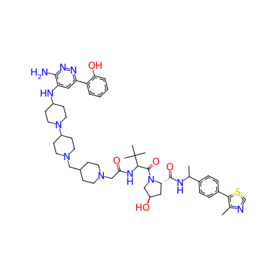 Cc1ncsc1-c1ccc(C(C)NC(=O)[C@@H]2C[C@@H](O)CN2C(=O)C(NC(=O)CN2CCC(CN3CCC(N4CCC(Nc5cc(-c6ccccc6O)nnc5N)CC4)CC3)CC2)C(C)(C)C)cc1